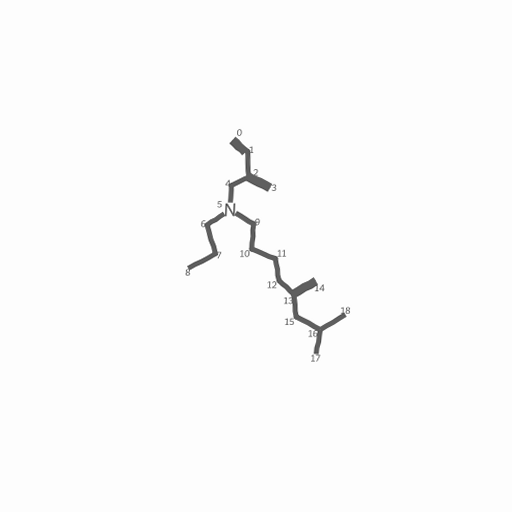 C=CC(=C)CN(CCC)CCCCC(=C)CC(C)C